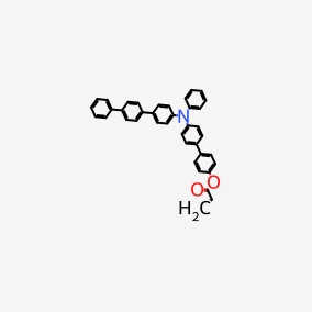 C=CC(=O)Oc1ccc(-c2ccc(N(c3ccccc3)c3ccc(-c4ccc(-c5ccccc5)cc4)cc3)cc2)cc1